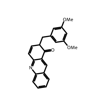 COc1cc(CC2C=Cc3nc4ccccc4cc3C2=O)cc(OC)c1